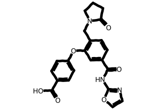 O=C(O)c1ccc(Oc2cc(C(=O)Nc3ncco3)ccc2CN2CCCC2=O)cc1